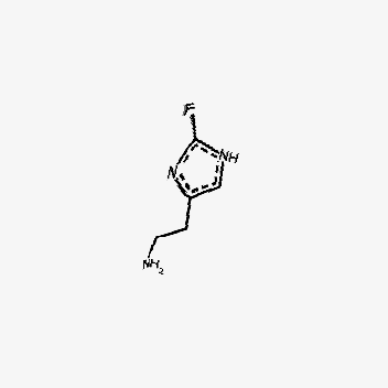 NCCc1c[nH]c(F)n1